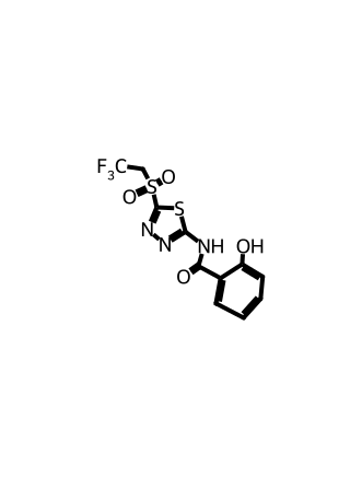 O=C(Nc1nnc(S(=O)(=O)CC(F)(F)F)s1)c1ccccc1O